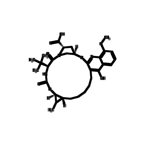 COc1cccc2c(O)c3c(nc12)O[C@@H]1C[C@@H](C(=O)O)N(C1)C(=O)[C@H](C(C)(C)C)NC(=O)O[C@@H]1C(C)[C@H]1CCCCC3